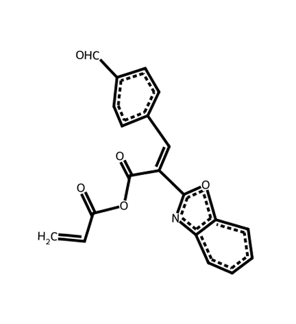 C=CC(=O)OC(=O)C(=Cc1ccc(C=O)cc1)c1nc2ccccc2o1